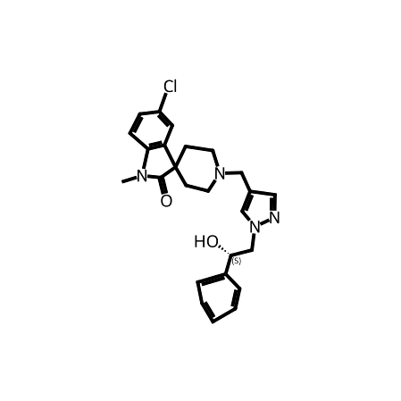 CN1C(=O)C2(CCN(Cc3cnn(C[C@@H](O)c4ccccc4)c3)CC2)c2cc(Cl)ccc21